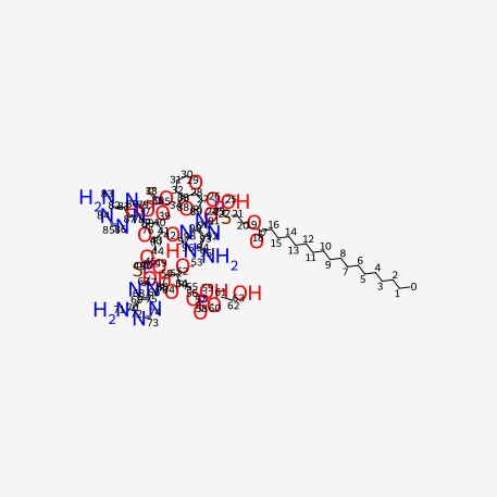 CCCCCCCCCCCCCCCCCC(=O)OCCSP(=O)(O)OC1C2OCCC[C@]2(COP(O)(=S)OC2C(O)[C@@H](COP(O)(=S)OC3C(OC)[C@@H](COP(=O)(O)OCCO)O[C@H]3n3cnc4c(N)ncnc43)O[C@H]2n2cnc3c(N)ncnc32)O[C@H]1n1cnc2c(N)ncnc21